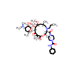 CCCN1C[C@H](C)C[C@@](C)(OC)[C@H](O[C@@H]2O[C@H](C)C[C@H](N(C)C)[C@H]2O)[C@@H](C)C(=O)C(C)(C)C(=O)O[C@@H](C)[C@@H]1C(=O)N1CCN(C(=O)Nc2ccccc2)CC1